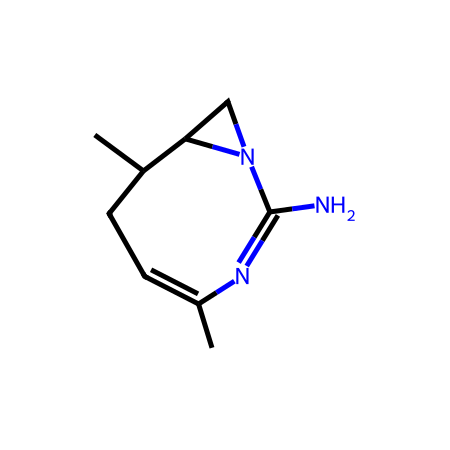 CC1=C/CC(C)C2CN2/C(N)=N\1